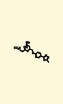 Cc1nnc(-c2ccc(OCC(CNC(C)(C)C)OC(=O)/C=C\C(=O)O)nc2)o1